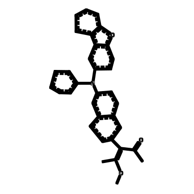 CO/C(C)=C(\C(C)=O)c1ccc2cc(N(c3ccccc3)c3ccc4oc5ccccc5c4c3)ccc2c1